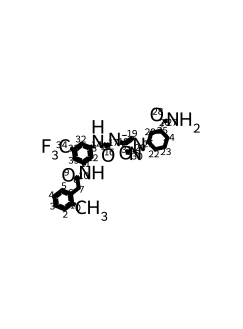 Cc1ccccc1CC(=O)Nc1cc(NC(=O)[N-]c2c[n+]([C@@H]3CCC[C@@H](C(N)=O)C3)no2)cc(C(F)(F)F)c1